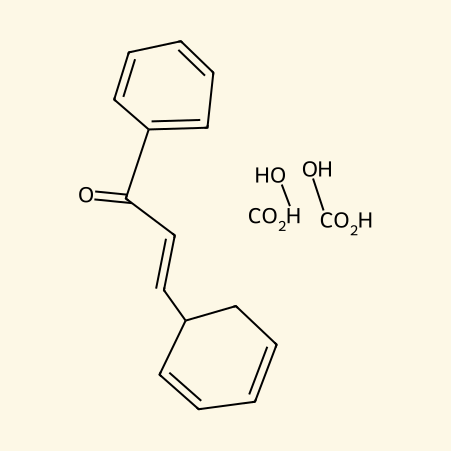 O=C(C=CC1C=CC=CC1)c1ccccc1.O=C(O)O.O=C(O)O